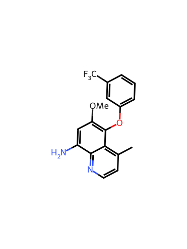 COc1cc(N)c2nccc(C)c2c1Oc1cccc(C(F)(F)F)c1